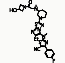 CCc1nc2sc(N3CCCC(N(C)CC(=O)N4CC(O)C4)C3)nn2c1N(C)c1nc(-c2ccc(F)cc2)c(C#N)s1